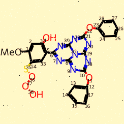 COc1cc(O)c(C2=NC3=NC(Oc4ccccc4)=NC4=NC(Oc5ccccc5)=NC(=N2)N43)cc1SOOO